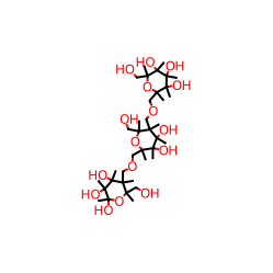 CC1(O)OC(C)(CO)C(C)(COCC2(C)OC(C)(CO)C(C)(COCC3(C)OC(C)(CO)C(C)(O)C(C)(O)C3(C)O)C(C)(O)C2(C)O)C(C)(O)C1(C)O